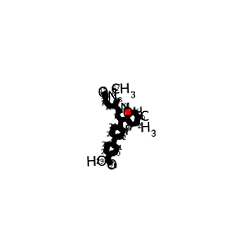 CC1=CC(F)=C(C(C/C(=N\O)c2ccc(=O)n(C)c2)c2ccc(-c3ccc(C(=O)O)cc3)cc2)CC1